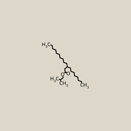 CCCCCCCCCCC(CCCCCCCC)CC(=O)OCC(C)C